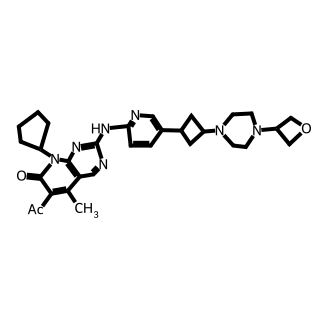 CC(=O)c1c(C)c2cnc(Nc3ccc(C4CC(N5CCN(C6COC6)CC5)C4)cn3)nc2n(C2CCCC2)c1=O